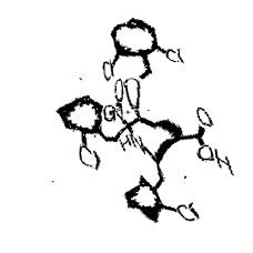 O=C(O)C1=C(Cc2ccccc2Cl)NC(Cc2ccccc2Cl)([N+](=O)[O-])C(OCc2c(Cl)cccc2Cl)=C1